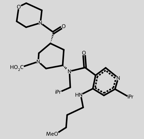 COCCCNc1cc(C(C)C)ncc1C(=O)N(CC(C)C)[C@H]1C[C@@H](C(=O)N2CCOCC2)CN(C(=O)O)C1